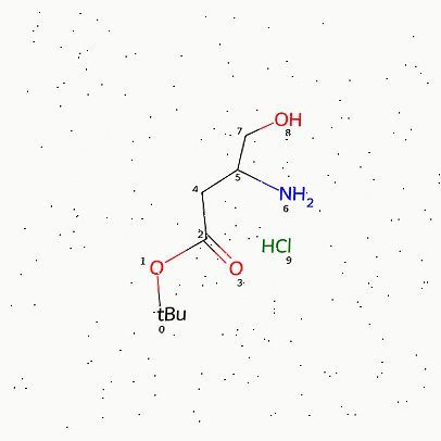 CC(C)(C)OC(=O)CC(N)CO.Cl